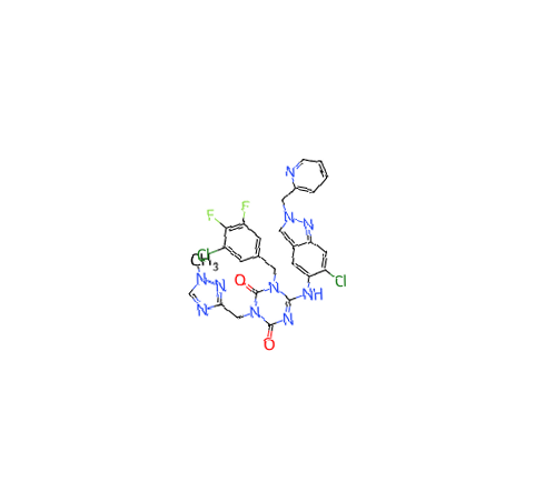 Cn1cnc(Cn2c(=O)nc(Nc3cc4cn(Cc5ccccn5)nc4cc3Cl)n(Cc3cc(F)c(F)c(Cl)c3)c2=O)n1